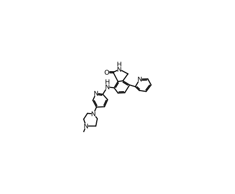 CN1CCN(c2ccc(Nc3ccc(-c4ccccn4)c4c3C(=O)NC4)nc2)CC1